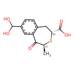 C[C@@H]1S[C@@H](C(=O)O)Cc2ccc(C(O)O)cc2C1=O